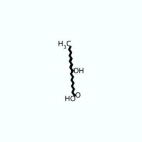 CCCCCC=CC=C[C@@H](O)CCCCCCCC(=O)O